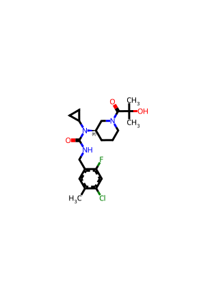 Cc1cc(CNC(=O)N(C2CC2)[C@@H]2CCCN(C(=O)C(C)(C)O)C2)c(F)cc1Cl